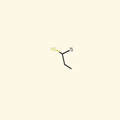 CC[CH](S)[Ti]